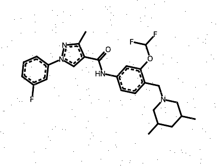 Cc1nn(-c2cccc(F)c2)cc1C(=O)Nc1ccc(CN2CC(C)CC(C)C2)c(OC(F)F)c1